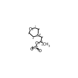 CC(CN1CCOCC1)O[SH](=O)=O